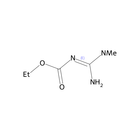 CCOC(=O)/N=C(\N)NC